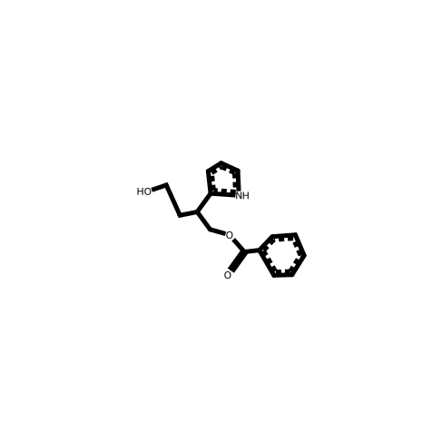 O=C(OCC(CCO)c1ccc[nH]1)c1ccccc1